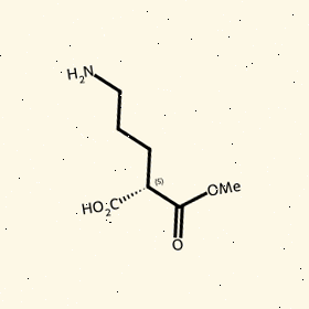 COC(=O)[C@@H](CCCN)C(=O)O